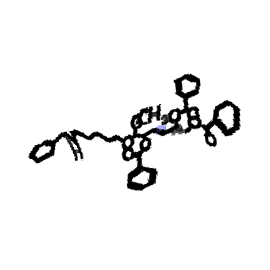 COC(OCCCCCNCc1ccccc1)C(/C=C/[C@@H](COC(=O)c1ccccc1)OC(=O)c1ccccc1)OC(=O)c1ccccc1